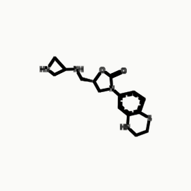 O=C1O[C@H](CNC2CNC2)CN1c1ccc2c(c1)NCCS2